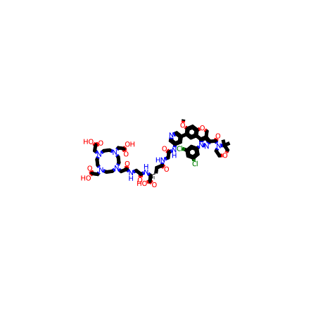 COc1cc2c(cc1-c1cncc(NC(=O)CNC(=O)CC[C@@H](NC(=O)CNC(=O)CN3CCN(CC(=O)O)CCN(CC(=O)O)CCN(CC(=O)O)CC3)C(=O)O)c1)-c1c(c(C(=O)N3CCOCC3(C)C)nn1-c1cc(Cl)cc(Cl)c1)CO2